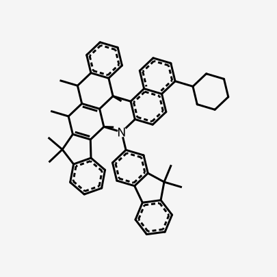 CC1C2=C3C(C)(c4ccccc4C2C)c2c(ccc4c(C5CCCCC5)cccc24)N(c2ccc4c(c2)C(C)(C)c2ccccc2-4)C3(C)C2=C1C(C)(C)c1ccccc12